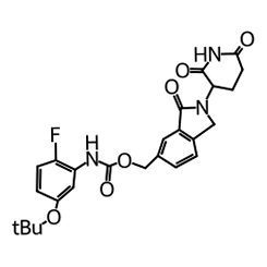 CC(C)(C)Oc1ccc(F)c(NC(=O)OCc2ccc3c(c2)C(=O)N(C2CCC(=O)NC2=O)C3)c1